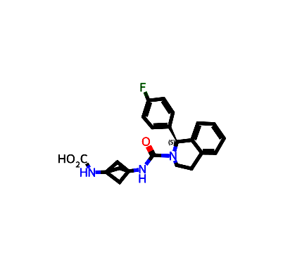 O=C(O)NC12CC(NC(=O)N3CCc4ccccc4[C@@H]3c3ccc(F)cc3)(C1)C2